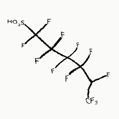 O=S(=O)(O)C(F)(F)C(F)(F)C(F)(F)C(F)(F)C(F)C(F)(F)F